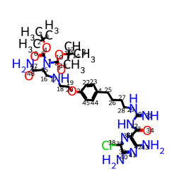 CC(C)(C)OC(=O)N(C(=O)OC(C)(C)C)C(CNCCOc1ccc(CCCCNC(=N)NC(=O)c2nc(Cl)c(N)nc2N)cc1)C(N)=O